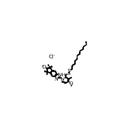 CCCCCCCCCCCCSSCc1c(C)c(OC)cc[n+]1-c1nc2cc3c(cc2[nH]1)C(C)(C)C(=O)C3(C)C.[Cl-]